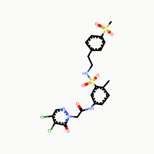 Cc1ccc(NC(=O)Cn2ncc(Cl)c(Cl)c2=O)cc1S(=O)(=O)NCCc1ccc(S(C)(=O)=O)cc1